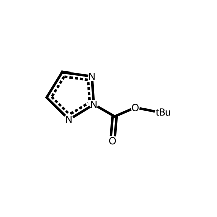 CC(C)(C)OC(=O)n1nccn1